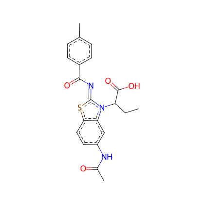 CCC(C(=O)O)n1c(=NC(=O)c2ccc(C)cc2)sc2ccc(NC(C)=O)cc21